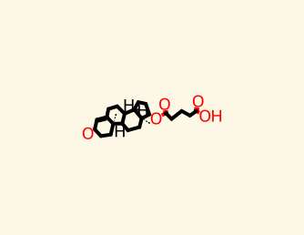 C[C@]12CC[C@H]3[C@@H](CCC4=CC(=O)CC[C@@]43C)[C@@H]1CC[C@@H]2OC(=O)CCCC(=O)O